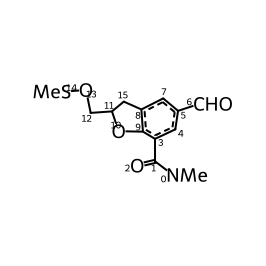 CNC(=O)c1cc(C=O)cc2c1OC(COSC)C2